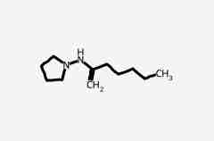 C=C(CCCCC)NN1CCCC1